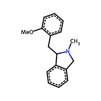 COc1ccccc1CC1c2ccccc2CN1C